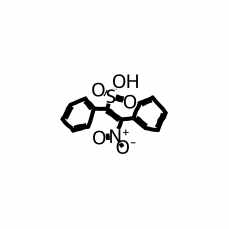 O=[N+]([O-])C(=C(c1ccccc1)S(=O)(=O)O)c1ccccc1